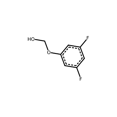 OCOc1cc(F)cc(F)c1